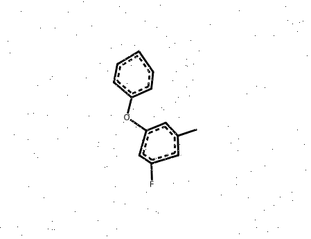 Cc1[c]c(F)cc(Oc2ccccc2)c1